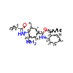 CCCC(=O)Nc1c(C)cc(C(=O)Nc2ccccc2NC)cc1N